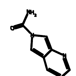 NC(=O)n1cc2cccnc2c1